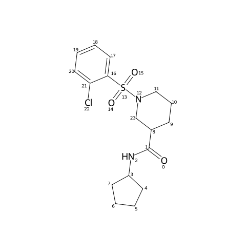 O=C(NC1CCCC1)C1CCCN(S(=O)(=O)c2ccccc2Cl)C1